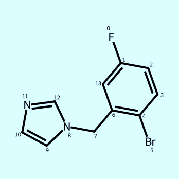 Fc1ccc(Br)c(Cn2ccnc2)c1